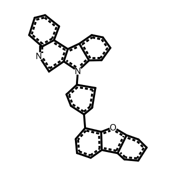 c1ccc2c(c1)ncc1c2c2ccccc2n1-c1ccc(-c2cccc3c2oc2ccccc23)cc1